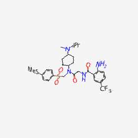 CSc1ccc(S(=O)(=O)CN(C(=O)CNC(=O)c2cc(C(F)(F)F)ccc2N)C2CCC(N(C)C(C)C)CC2)cc1